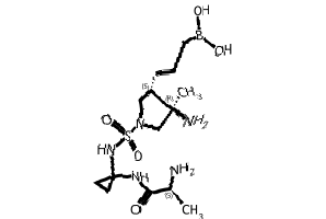 C[C@H](N)C(=O)NC1(NS(=O)(=O)N2C[C@H](CCCB(O)O)[C@@](C)(N)C2)CC1